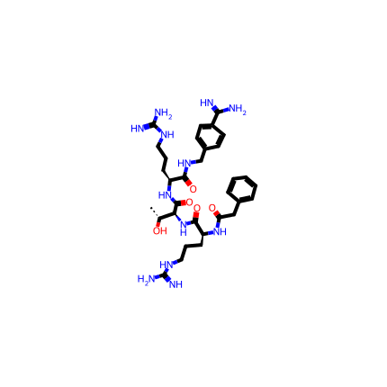 C[C@@H](O)[C@H](NC(=O)[C@H](CCCNC(=N)N)NC(=O)Cc1ccccc1)C(=O)N[C@@H](CCCNC(=N)N)C(=O)NCc1ccc(C(=N)N)cc1